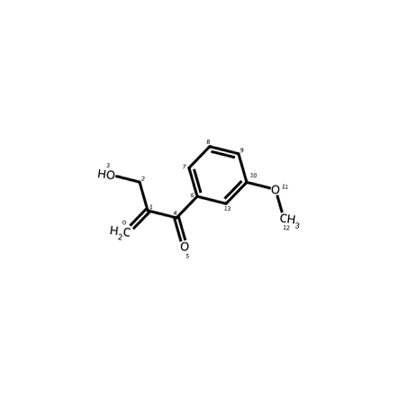 C=C(CO)C(=O)c1cccc(OC)c1